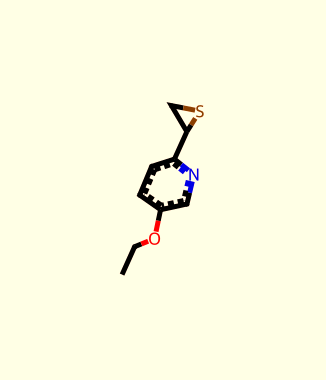 CCOc1ccc(C2CS2)nc1